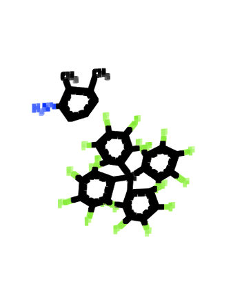 Cc1cccc([NH3+])c1C.Fc1c(F)c(F)[c]([Al-]([c]2c(F)c(F)c(F)c(F)c2F)([c]2c(F)c(F)c(F)c(F)c2F)[c]2c(F)c(F)c(F)c(F)c2F)c(F)c1F